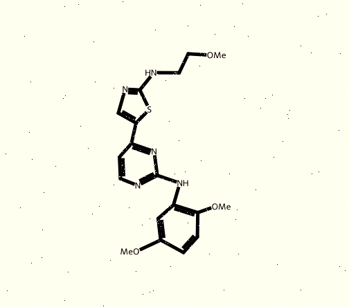 COCCNc1ncc(-c2ccnc(Nc3cc(OC)ccc3OC)n2)s1